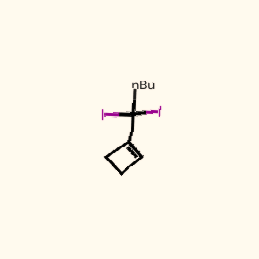 CCCCC(I)(I)C1=CCC1